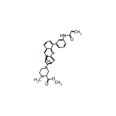 C=CC(=O)Nc1cccc(C2=CC=CC(=C/N=C)/C2=N\c2ccc(N3CCN(C)C(C(=O)OC)C3)cc2)c1